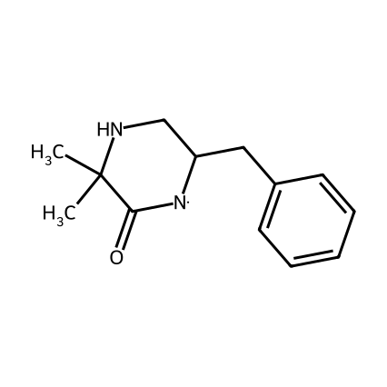 CC1(C)NCC(Cc2ccccc2)[N]C1=O